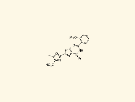 COc1ccccc1C(=O)N[C@H](c1nc(-c2nc(C(=O)O)c(C)o2)cs1)C(C)C